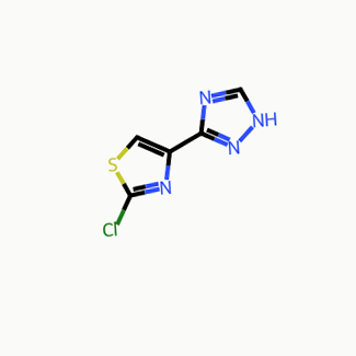 Clc1nc(-c2nc[nH]n2)cs1